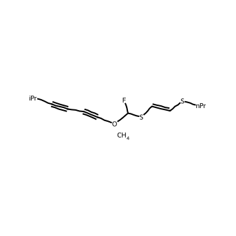 C.CCCS/C=C/SC(F)OC#CC#CC(C)C